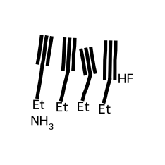 C#CCC.C#CCC.C#CCC.C#CCC.F.N